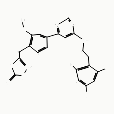 CCOc1cc(-c2cc(NCCc3c(F)cc(Br)cc3F)ncn2)ccc1Cc1noc(=O)[nH]1